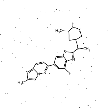 Cc1cn2nc(-c3cc(F)c4nc(N(C)C5CCN[C@@H](C)C5)sc4c3)ccc2n1